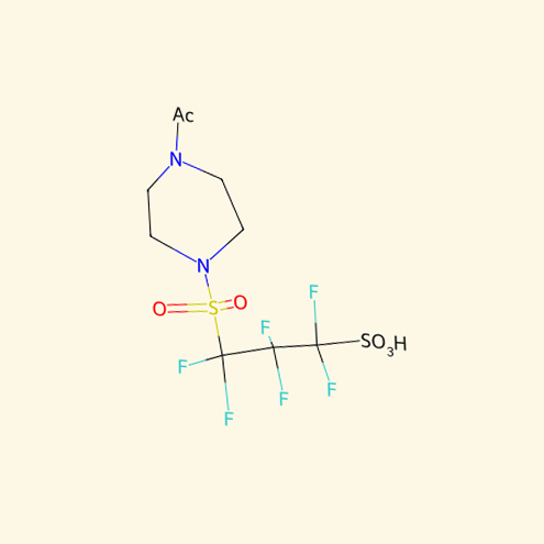 CC(=O)N1CCN(S(=O)(=O)C(F)(F)C(F)(F)C(F)(F)S(=O)(=O)O)CC1